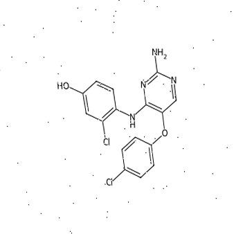 Nc1ncc(Oc2ccc(Cl)cc2)c(Nc2ccc(O)cc2Cl)n1